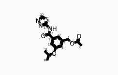 CC(=O)OCc1cc(OC(C)C)cc(C(=O)Nc2nncs2)c1